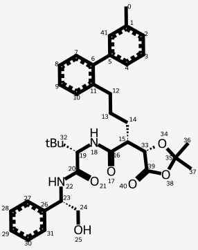 Cc1cccc(-c2ccccc2CCC[C@@H](C(=O)N[C@H](C(=O)N[C@H](CO)c2ccccc2)C(C)(C)C)[C@@H]2OC(C)(C)OC2=O)c1